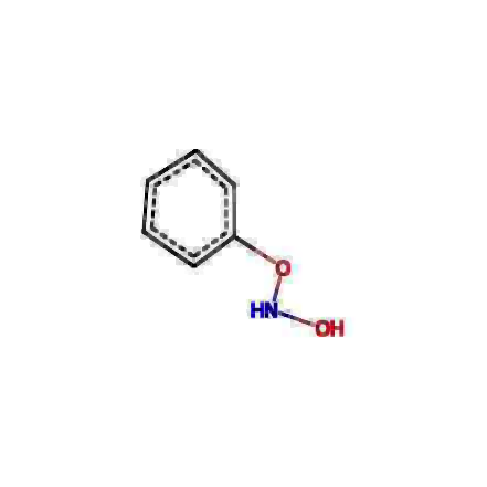 ONOc1ccccc1